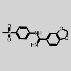 CS(=O)(=O)c1ccc(NC(=N)c2ccc3c(c2)OCO3)cc1